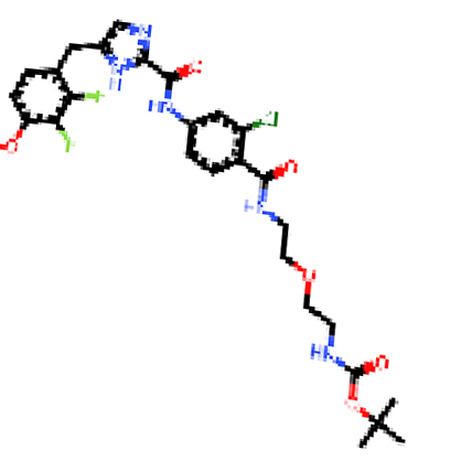 COc1ccc(Cc2cnc(C(=O)Nc3ccc(C(=O)NCCOCCNC(=O)OC(C)(C)C)c(Cl)c3)[nH]2)c(F)c1F